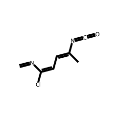 C=N/C(Cl)=C\C=C(/C)N=C=O